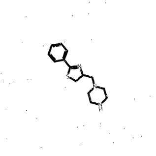 c1ccc(C2=NC(CN3CCNCC3)CS2)cc1